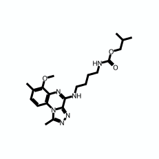 COc1c(C)ccc2c1nc(NCCCCNC(=O)OCC(C)C)c1nnc(C)n12